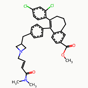 COC(=O)c1ccc2c(c1)CCCC(c1ccc(Cl)cc1Cl)=C2c1ccc(CC2CN(CC=CC(=O)N(C)C)C2)cc1